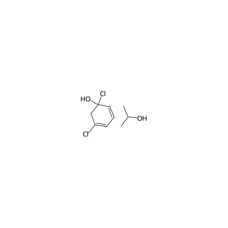 CC(C)O.OC1(Cl)C=CC=C(Cl)C1